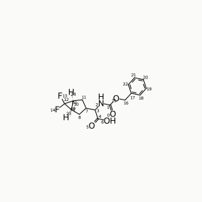 O=C(NC(C(=O)O)C1C[C@@H]2[C@H](C1)C2(F)F)OCc1ccccc1